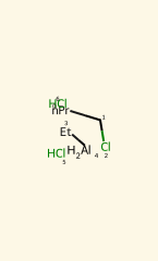 CCCCCl.C[CH2][AlH2].Cl.Cl